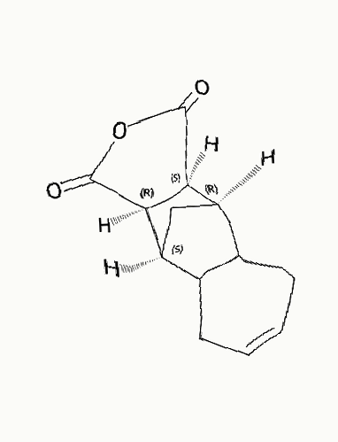 O=C1OC(=O)[C@H]2[C@@H]1[C@@H]1C[C@H]2C2CC=CCC21